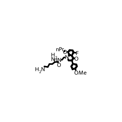 CCCOc1ccc(F)c2c(=O)c(-c3ccc(OC)cc3)cn(CCNC(=O)[C@@H](N)CCCCN)c12